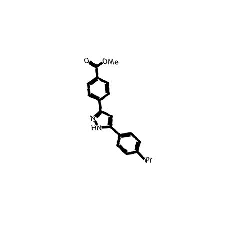 COC(=O)c1ccc(-c2cc(-c3ccc(C(C)C)cc3)[nH]n2)cc1